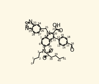 CCCCN(c1ccc2c(c1)c(-c1ccc(C=O)cc1)c(C(=O)O)n2Cc1ccc2nsnc2c1)S(=O)(=O)CCCC